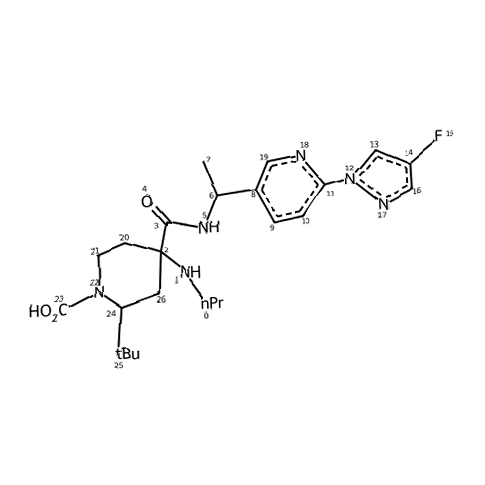 CCCNC1(C(=O)NC(C)c2ccc(-n3cc(F)cn3)nc2)CCN(C(=O)O)C(C(C)(C)C)C1